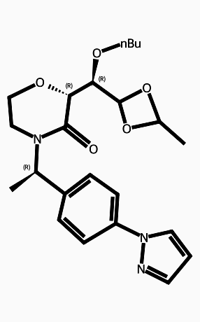 CCCCO[C@@H](C1OC(C)O1)[C@H]1OCCN([C@H](C)c2ccc(-n3cccn3)cc2)C1=O